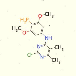 COc1cc(Nc2nc(Cl)nc(C)c2C)cc(OC)c1P